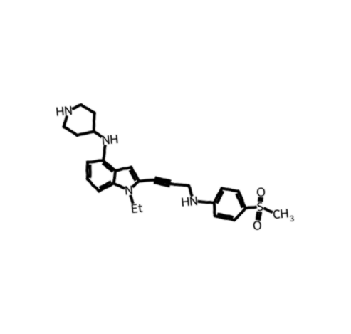 CCn1c(C#CCNc2ccc(S(C)(=O)=O)cc2)cc2c(NC3CCNCC3)cccc21